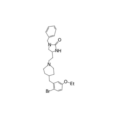 CCOc1ccc(Br)c(CC2CCN(CCC3CN(Cc4ccccc4)C(=O)N3)CC2)c1